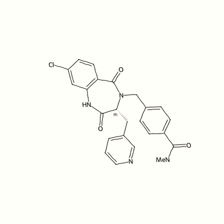 CNC(=O)c1ccc(CN2C(=O)c3ccc(Cl)cc3NC(=O)[C@H]2Cc2cccnc2)cc1